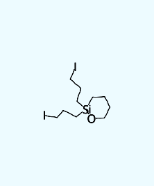 ICCC[Si]1(CCCI)CCCCO1